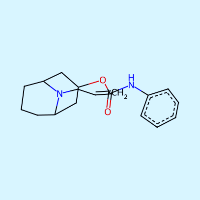 C=CCN1C2CCCC1CC(OC(=O)Nc1ccccc1)C2